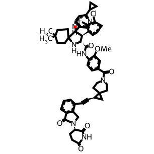 COc1cc(C(=O)N2CCC3(CC2)C[C@H]3C#Cc2cccc3c2CN([C@H]2CCC(=O)NC2=O)C3=O)ccc1NC(=O)[C@@H]1NC2(CCC(C)(C)CC2)[C@@]2(CNc3cc(C4CC4)ncc32)[C@H]1c1cccc(Cl)c1F